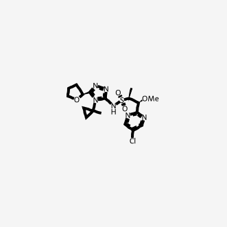 CO[C@H](c1ncc(Cl)cn1)[C@H](C)S(=O)(=O)Nc1nnc([C@@H]2CCCO2)n1C1(C)CC1